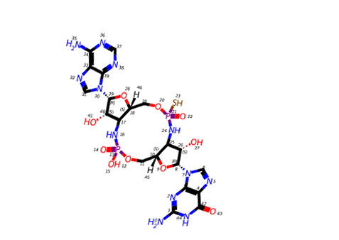 Nc1nc2c(ncn2[C@@H]2O[C@@H]3COP(=O)(O)NC4[C@@H](COP(=O)(S)NC3[C@@H]2O)O[C@@H](n2cnc3c(N)ncnc32)[C@H]4O)c(=O)[nH]1